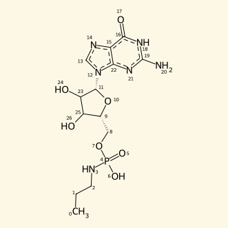 CCCNP(=O)(O)OC[C@H]1O[C@@H](n2cnc3c(=O)[nH]c(N)nc32)C(O)C1O